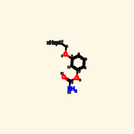 CCCCCCCCOc1cccc(OC(N)=O)c1